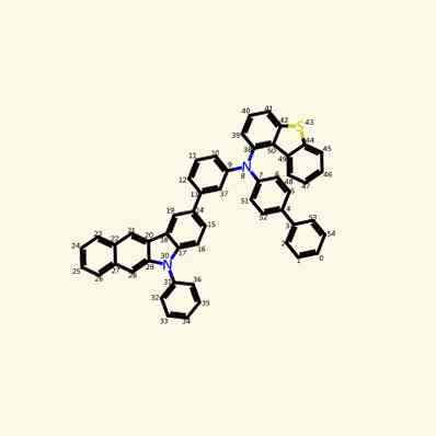 c1ccc(-c2ccc(N(c3cccc(-c4ccc5c(c4)c4cc6ccccc6cc4n5-c4ccccc4)c3)c3cccc4sc5ccccc5c34)cc2)cc1